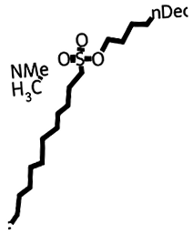 CCCCCCCCCCCCCCOS(=O)(=O)CCCCCCCCCCCF.CNC